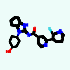 O=C(/N=c1\[nH]c2ccccc2n1[C@H]1CC[C@@H](O)CC1)c1ccnc(-c2cccnc2F)c1